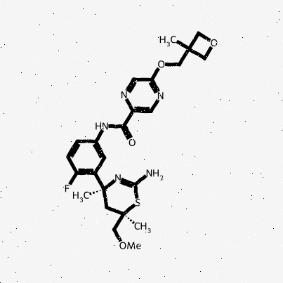 COC[C@@]1(C)C[C@@](C)(c2cc(NC(=O)c3cnc(OCC4(C)COC4)cn3)ccc2F)N=C(N)S1